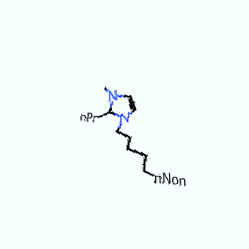 CCCCCCCCCCCCCCN1C=CN(C)C1CCC